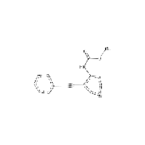 CC(C)(C)OC(=O)Nc1ccncc1C#Cc1ccccc1